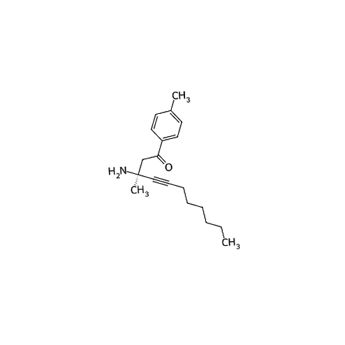 CCCCCCC#C[C@@](C)(N)CC(=O)c1ccc(C)cc1